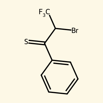 FC(F)(F)C(Br)C(=S)c1ccccc1